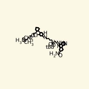 CC(C)(C)OC(=O)N(CCCCNCc1ccc(-c2ccccc2CCOCOCC[Si](C)(C)C)c(Cl)c1)CCNc1nc2cc(C(N)=O)ccc2c2cnccc12